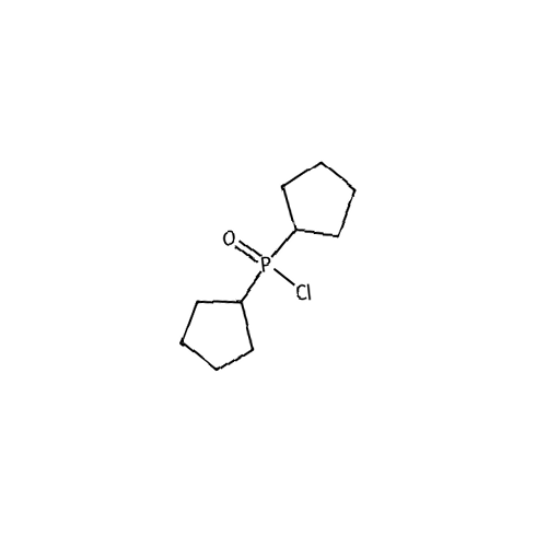 O=P(Cl)(C1CCCC1)C1CCCC1